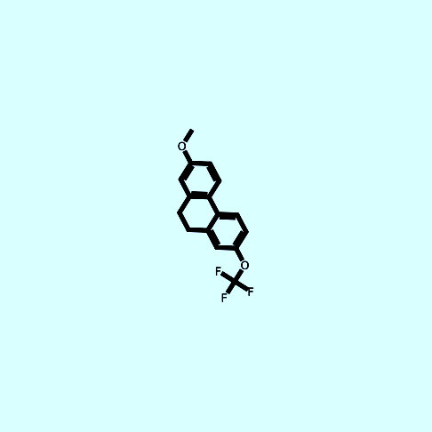 COc1ccc2c(c1)CCc1cc(OC(F)(F)F)ccc1-2